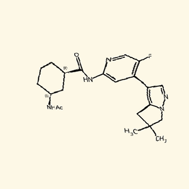 CC(=O)N[C@H]1CCC[C@@H](C(=O)Nc2cc(-c3cnn4c3CC(C)(C)C4)c(F)cn2)C1